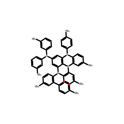 CC(C)(C)c1ccc(-c2cc(C(C)(C)C)ccc2N2c3ccc(C(C)(C)C)cc3B3c4cc(C(C)(C)C)ccc4N(c4ccc(C(C)(C)C)cc4)c4cc(N(c5cccc(C(C)(C)C)c5)c5cccc(C(C)(C)C)c5)cc2c43)cc1